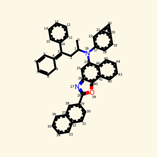 CC(C/C(=C1/C=CC=CC1)c1ccccc1)N(c1ccc2c(c1)=C=2)c1cc2nc(-c3ccc4ccccc4c3)oc2c2ccccc12